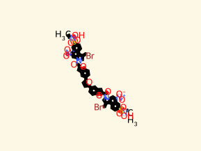 CCN(O)S(=O)(=O)c1ccc2c3c(cc([N+](=O)[O-])c2c1)N(C(=O)c1cc2cc(-c4ccc(-c5ccc6oc(C(=O)N7CC(CBr)c8c7cc([N+](=O)[O-])c7cc(S(=O)(=O)N(O)CC)ccc87)cc6c5)o4)ccc2o1)CC3CBr